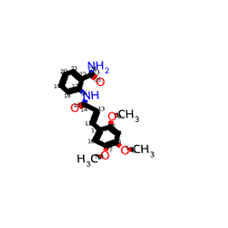 COc1cc(OC)c(OC)cc1/C=C/C(=O)Nc1ccccc1C(N)=O